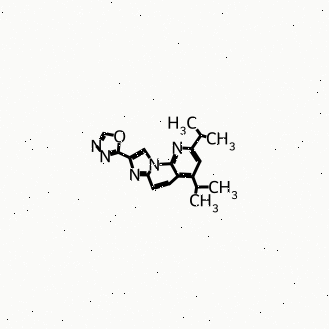 CC(C)c1cc(C(C)C)c2ccc3nc(-c4nnco4)cn3c2n1